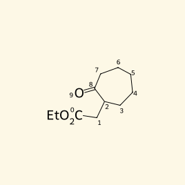 CCOC(=O)CC1CCCCCC1=O